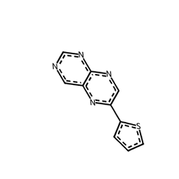 c1csc(-c2cnc3ncncc3n2)c1